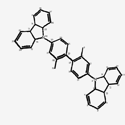 Cc1cc(N2C3C=CC=CC3C3C=CC=CC32)ccc1-c1ccc(N2C3C=CC=CC3C3C=CC=CC32)cc1C